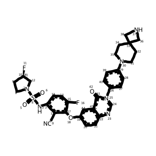 N#Cc1c(NS(=O)(=O)N2CC[C@@H](F)C2)ccc(F)c1Oc1ccc2ncn(-c3ccc(N4CCC5(CC4)CNC5)cc3)c(=O)c2c1